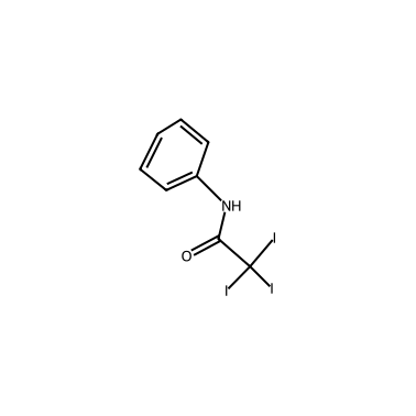 O=C(Nc1ccccc1)C(I)(I)I